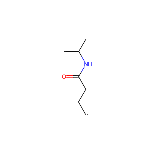 [CH2]CCC(=O)NC(C)C